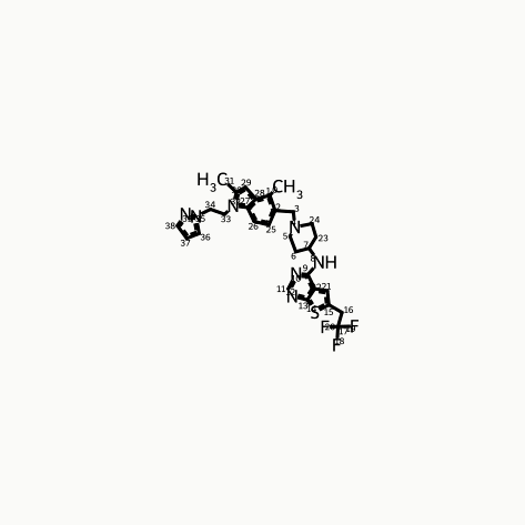 Cc1c(CN2CCC(Nc3ncnc4sc(CC(F)(F)F)cc34)CC2)ccc2c1cc(C)n2CCn1cccn1